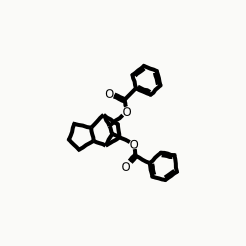 O=C(OC1C2CCC(C3CCCC32)C1OC(=O)c1ccccc1)c1ccccc1